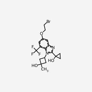 CC1(O)CC(n2c(C3(O)CC3)nc3cc(OCCBr)cc(C(F)(F)F)c32)C1